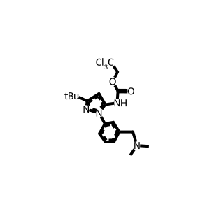 CN(C)Cc1cccc(-n2nc(C(C)(C)C)cc2NC(=O)OCC(Cl)(Cl)Cl)c1